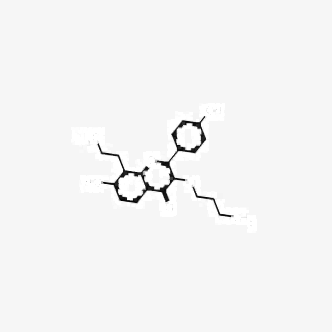 CCCCOc1c(-c2ccc(O)cc2)oc2c(CCC)c(O)ccc2c1=O